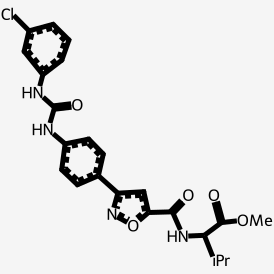 COC(=O)C(NC(=O)c1cc(-c2ccc(NC(=O)Nc3cccc(Cl)c3)cc2)no1)C(C)C